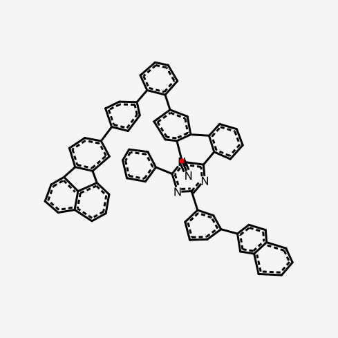 N#Cc1ccc(-c2ccccc2-c2ccc(-c3ccc4c(c3)-c3cccc5cccc-4c35)cc2)cc1-c1ccccc1-c1nc(-c2ccccc2)nc(-c2cccc(-c3ccc4ccccc4c3)c2)n1